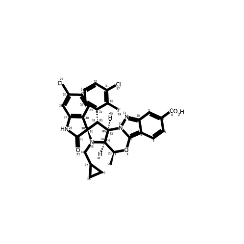 C[C@@H]1Oc2c3ccc(C(=O)O)cc3nn2[C@H]2[C@@H]1N(CC1CC1)[C@]1(C(=O)Nc3cc(Cl)ccc31)[C@@H]2c1cccc(Cl)c1F